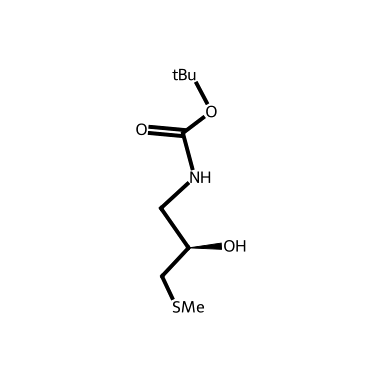 CSC[C@H](O)CNC(=O)OC(C)(C)C